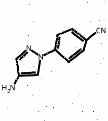 N#Cc1ccc(-n2cc(N)cn2)cc1